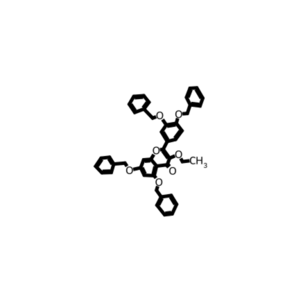 CCOc1c(-c2ccc(OCc3ccccc3)c(OCc3ccccc3)c2)oc2cc(OCc3ccccc3)cc(OCc3ccccc3)c2c1=O